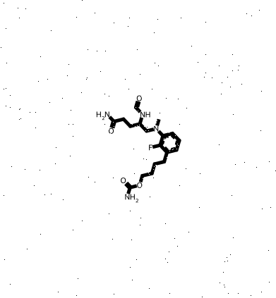 CN(CC(CCC(N)=O)NC=O)c1cccc(CCCCOC(N)=O)c1F